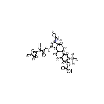 CO/N=C1\C[C@@H](CCC(=O)Nc2ncc(C)s2)C2C3CCc4cc(OC(=O)O)c(C(C)(C)C)cc4C3CC[C@]12C